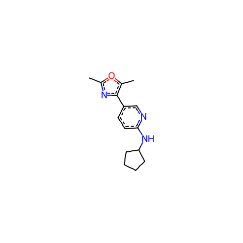 Cc1nc(-c2ccc(NC3CCCC3)nc2)c(C)o1